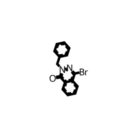 O=c1c2ccccc2c(Br)nn1Cc1ccccc1